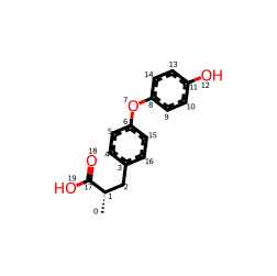 C[C@@H](Cc1ccc(Oc2ccc(O)cc2)cc1)C(=O)O